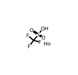 O=S(=O)(O)C(F)(F)F.[Ho]